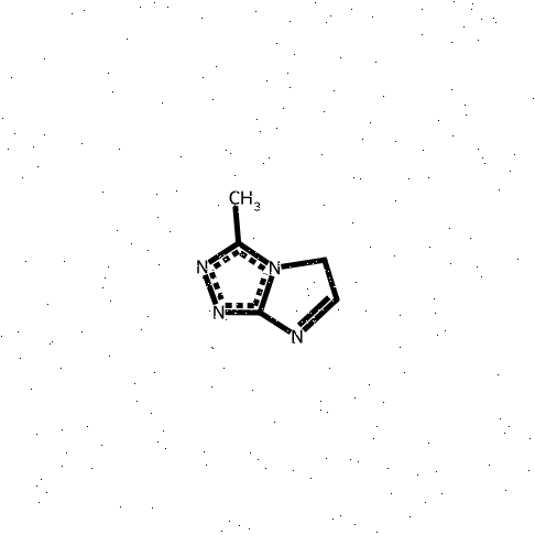 Cc1nnc2n1CC=N2